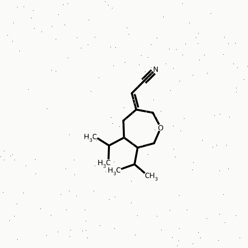 CC(C)C1COC/C(=C\C#N)CC1C(C)C